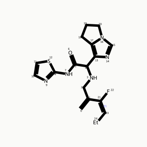 C=C(CNC(C(=O)Nc1nccs1)c1ncn2c1CCC2)/C(F)=C\CC